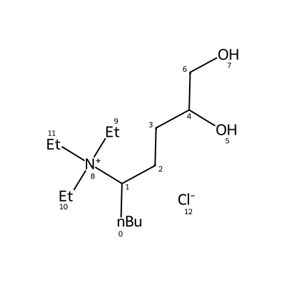 CCCCC(CCC(O)CO)[N+](CC)(CC)CC.[Cl-]